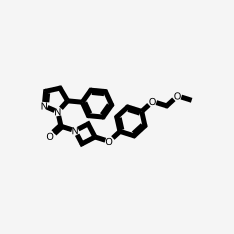 COCOc1ccc(OC2CN(C(=O)N3N=CCC3c3ccccc3)C2)cc1